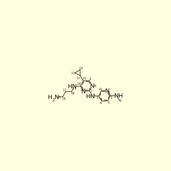 CNc1ccc(Nc2ncc(C3CC3)c(NCCCN)n2)cn1